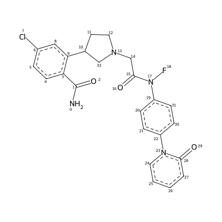 NC(=O)c1ccc(Cl)cc1C1CCN(CC(=O)N(F)c2ccc(-n3ccccc3=O)cc2)C1